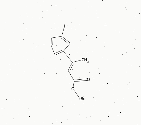 C/C(=C\C(=O)OC(C)(C)C)c1cccc(I)c1